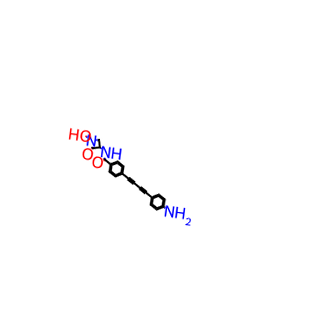 Nc1ccc(C#CC#Cc2ccc(C(=O)N[C@@H]3CN(O)C3=O)cc2)cc1